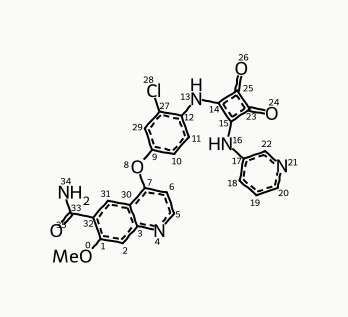 COc1cc2nccc(Oc3ccc(Nc4c(Nc5cccnc5)c(=O)c4=O)c(Cl)c3)c2cc1C(N)=O